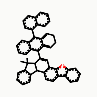 CC1(C)c2ccccc2C2c3ccc4c(oc5ccccc54)c3C=C(c3c4c(c(-c5cccc6ccccc56)c5ccccc35)=CCCC=4)C21